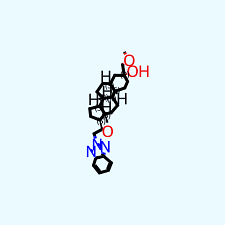 COC[C@@]1(O)CC[C@H]2[C@@H](CC[C@@H]3[C@@H]2CC[C@]2(C)[C@@H](C(=O)Cn4nc5ccccc5n4)CC[C@@H]32)C1